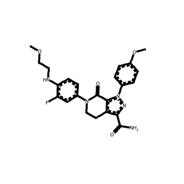 COCCNc1ccc(N2CCc3c(C(N)=O)nn(-c4ccc(OC)cc4)c3C2=O)cc1F